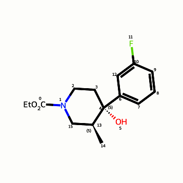 CCOC(=O)N1CC[C@@](O)(c2cccc(F)c2)[C@@H](C)C1